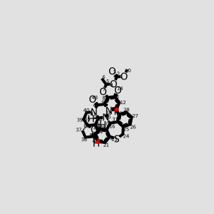 COC(=O)OC(C)Oc1c2n(ccc1=O)N([C@@H]1c3ccccc3SCc3cccc(F)c31)[C@@H]1[C@H]3C[C@@H]4CC[C@@]3(CCN1C2=O)O4